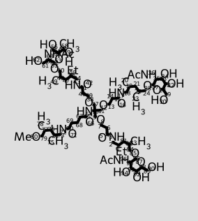 CCC(CNC(=O)CCOCC(COCCC(=O)NCC(C)CC(C)COC1OC(CO)C(O)C(O)C1NC(C)=O)(COCCC(=O)NCC(CC)CC(C)COC(OC(CO)[C@@H](C)O)[C@H](CO)NC(C)=O)NC(=O)CCCC(=O)NCC(C)CC(C)COC)CC(C)COC1OC(CO)C(O)C(O)C1NC(C)=O